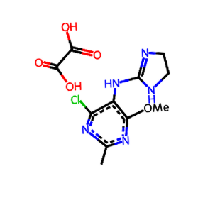 COc1nc(C)nc(Cl)c1NC1=NCCN1.O=C(O)C(=O)O